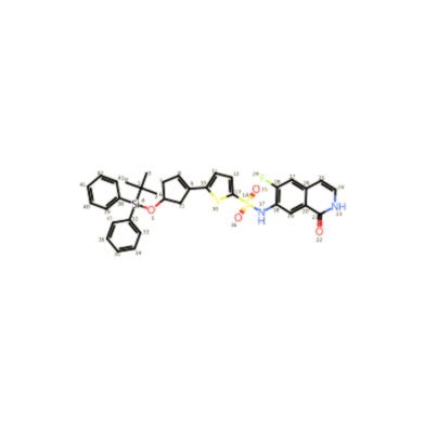 CC(C)(C)[Si](OC1CC=C(c2ccc(S(=O)(=O)Nc3cc4c(=O)[nH]ccc4cc3F)s2)C1)(c1ccccc1)c1ccccc1